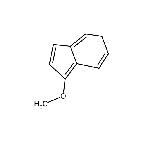 COC1=C2C=CCC=C2C=C1